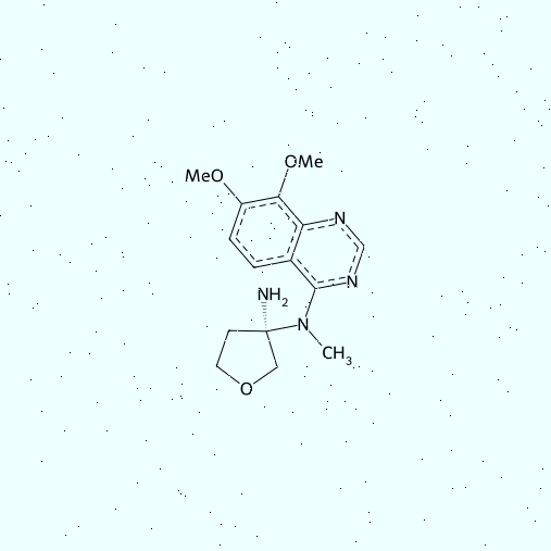 COc1ccc2c(N(C)[C@]3(N)CCOC3)ncnc2c1OC